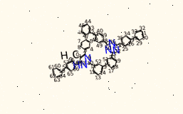 CC1=C(c2ccccc2)N=C(c2cccc(-c3cccc(-c4nc(-c5ccc(-c6ccccc6)cc5)nc(-c5ccc(-c6ccccc6)cc5)n4)c3)c2)NC1c1ccc(-c2ccccc2)cc1